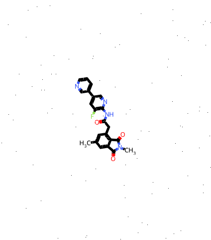 Cc1cc(CC(=O)Nc2ncc(-c3cccnc3)cc2F)c2c(c1)C(=O)N(C)C2=O